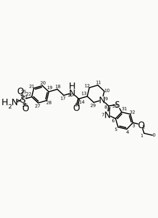 CCOc1ccc2nc(N3CCCC(C(=O)NCCc4ccc(S(N)(=O)=O)cc4)C3)sc2c1